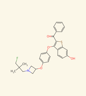 CC(C)(CF)CN1CC(Oc2ccc(Oc3c(C(=O)c4ccccc4)sc4cc(O)ccc34)cc2)C1